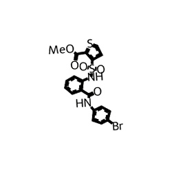 COC(=O)c1sccc1S(=O)(=O)Nc1ccccc1C(=O)Nc1ccc(Br)cc1